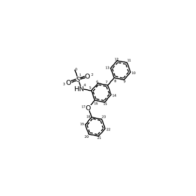 CS(=O)(=O)Nc1cc(-c2ccccc2)ccc1Oc1ccccc1